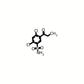 CCC(=O)c1cc(S(N)(=O)=O)c(Cl)cc1Cl